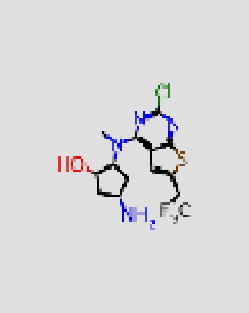 CN(c1nc(Cl)nc2sc(CC(F)(F)F)cc12)[C@H]1C[C@@H](N)C[C@H]1O